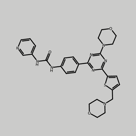 O=C(Nc1ccc(-c2nc(-c3ccc(CN4CCOCC4)s3)nc(N3CCOCC3)n2)cc1)Nc1cccnc1